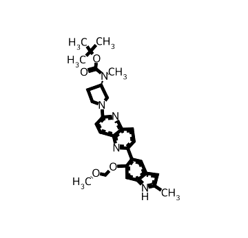 COCOc1cc2[nH]c(C)cc2cc1-c1ccc2nc(N3CC[C@H](N(C)C(=O)OC(C)(C)C)C3)ccc2n1